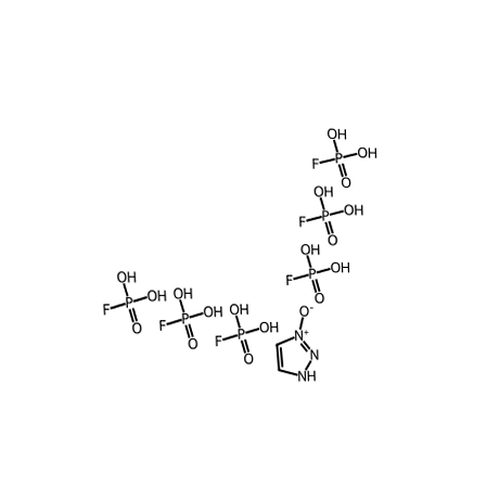 O=P(O)(O)F.O=P(O)(O)F.O=P(O)(O)F.O=P(O)(O)F.O=P(O)(O)F.O=P(O)(O)F.[O-][n+]1cc[nH]n1